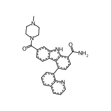 CN1CCN(C(=O)c2ccc3c(c2)[nH]c2c(C(N)=O)ccc(-c4cccc5cccnc45)c23)CC1